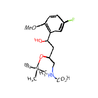 COc1ccc(F)cc1C(O)CC(CNC(=O)O)O[Si](C)(C)C(C)(C)C